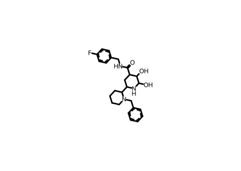 O=C(NCc1ccc(F)cc1)C1CC(C2CCCCN2Cc2ccccc2)NC(O)C1O